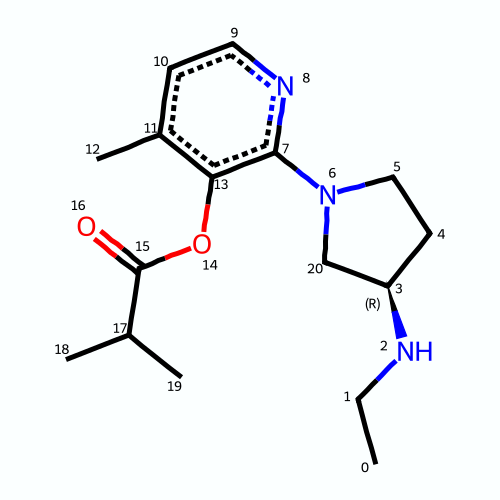 CCN[C@@H]1CCN(c2nccc(C)c2OC(=O)C(C)C)C1